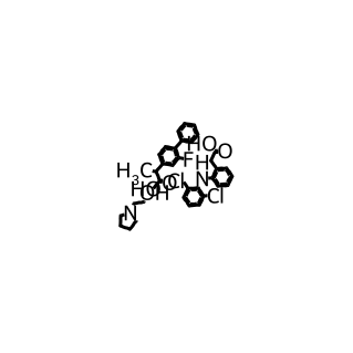 CC(C(=O)O)c1ccc(-c2ccccc2)c(F)c1.O=C(O)Cc1ccccc1Nc1c(Cl)cccc1Cl.OCCN1CCCC1